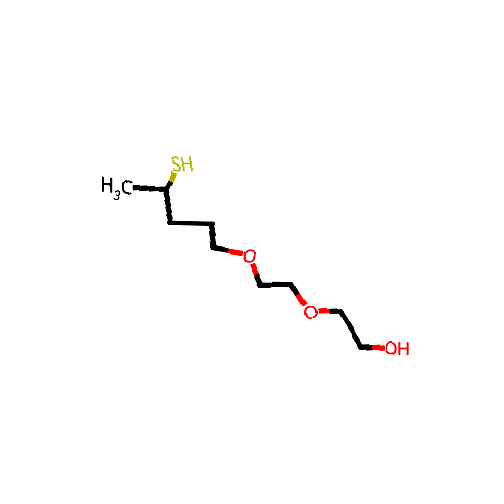 CC(S)CCCOCCOCCO